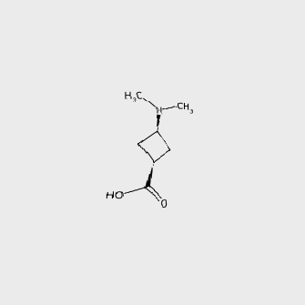 CN(C)[C@H]1C[C@@H](C(=O)O)C1